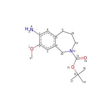 COc1cc2c(cc1N)CCCN(C(=O)OC(C)(C)C)C2